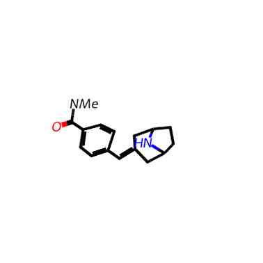 CNC(=O)c1ccc(C=C2CC3CCC(C2)N3)cc1